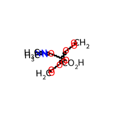 C=CC(=O)OCCCCCCOc1ccc(-c2cc(CCCCCCCOc3ccc(N=Nc4ccc(N(C)C)cc4)cc3)c(-c3ccc(OCCCCCCOC(=O)C=C)cc3)c(C(=O)OC(=O)O)c2)cc1